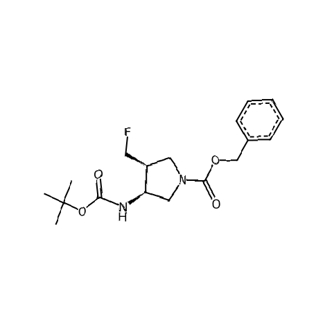 CC(C)(C)OC(=O)N[C@@H]1CN(C(=O)OCc2ccccc2)C[C@@H]1CF